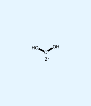 OOO.[Zr]